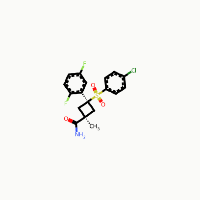 C[C@]1(C(N)=O)C[C@@](c2cc(F)ccc2F)(S(=O)(=O)c2ccc(Cl)cc2)C1